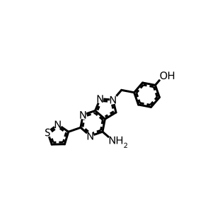 Nc1nc(-c2ccsn2)nc2nn(Cc3cccc(O)c3)cc12